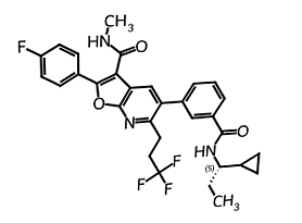 CC[C@H](NC(=O)c1cccc(-c2cc3c(C(=O)NC)c(-c4ccc(F)cc4)oc3nc2CCC(F)(F)F)c1)C1CC1